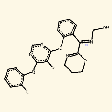 OC/N=C(/C1=NCCCO1)c1ccccc1Oc1ncnc(Oc2ccccc2Cl)c1F